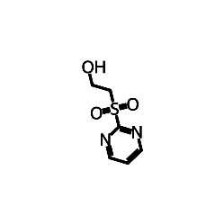 O=S(=O)(CCO)c1ncccn1